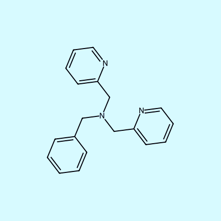 c1ccc(CN(Cc2ccccn2)Cc2ccccn2)cc1